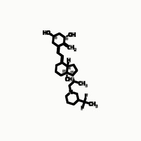 C=C1C(=CC=C2CCC[C@]3(C)[C@@H](C(C)CN4CCCC(C(C)(F)F)C4)CC[C@@H]23)C[C@@H](O)C[C@@H]1O